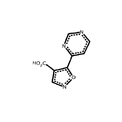 O=C(O)c1cnoc1-c1ccncn1